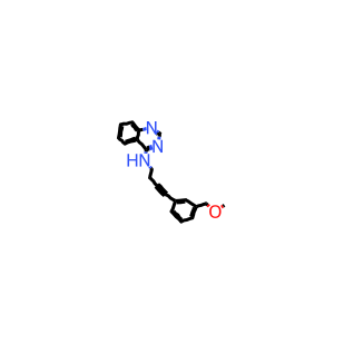 COCc1cccc(C#CCCNc2ncnc3ccccc23)c1